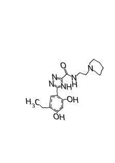 CCc1cc(-c2nnc(C(=O)NCCN3CCCCC3)[nH]2)c(O)cc1O